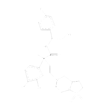 CC(CCN1CCN2C(CCS2(=O)=O)C1)(C(=O)N[C@@H](CO)c1ccc(F)cc1)c1ccc(Cl)c(Cl)c1